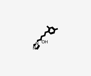 Cc1ccc(CCCC(O)Cn2ccnc2)c(C)c1